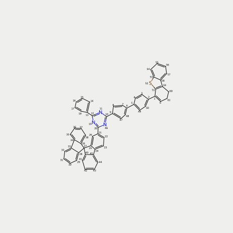 C1=C(c2ccc(-c3ccc(-c4nc(-c5ccccc5)nc(-c5ccc6c(c5)C5(c7ccccc7-c7ccccc75)c5ccccc5-6)n4)cc3)cc2)c2sc3ccccc3c2CC1